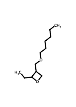 CCCCCCOCC1COC1CC